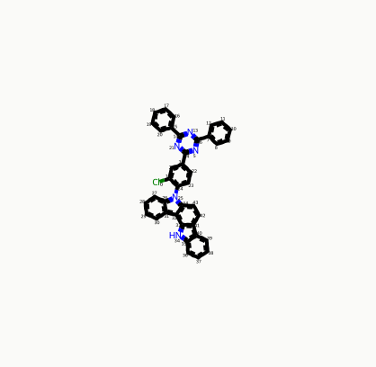 Clc1cc(-c2nc(-c3ccccc3)nc(-c3ccccc3)n2)ccc1-n1c2ccccc2c2c3[nH]c4ccccc4c3ccc21